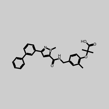 Cc1cc(CNC(=O)c2cc(-c3cccc(-c4ccccc4)c3)nn2C)ccc1OC(C)(C)C(=O)O